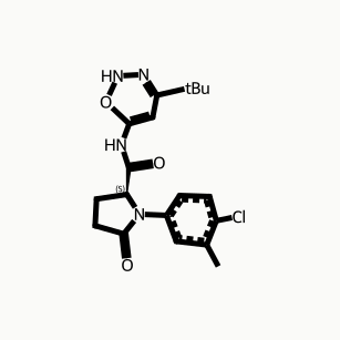 Cc1cc(N2C(=O)CC[C@H]2C(=O)NC2=CC(C(C)(C)C)=NNO2)ccc1Cl